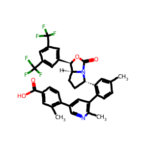 Cc1ccc(-c2cc(-c3ccc(C(=O)O)cc3C)cnc2C)c([C@@H]2CC[C@H]3[C@@H](c4cc(C(F)(F)F)cc(C(F)(F)F)c4)OC(=O)N23)c1